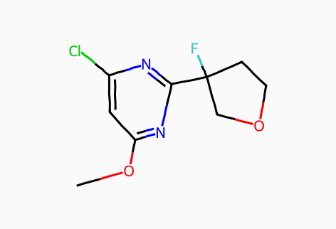 COc1cc(Cl)nc(C2(F)CCOC2)n1